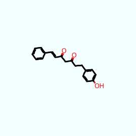 O=C(/C=C/c1ccccc1)CC(=O)CCc1ccc(O)cc1